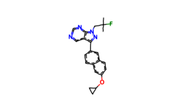 CC(C)(F)Cn1nc(-c2ccc3cc(OC4CC4)ccc3c2)c2cncnc21